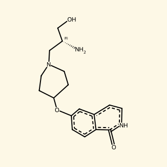 N[C@@H](CO)CN1CCC(Oc2ccc3c(=O)[nH]ccc3c2)CC1